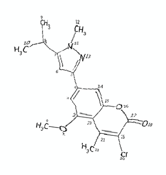 COc1cc(-c2cc(C(C)C)n(C)n2)cc2oc(=O)c(Cl)c(C)c12